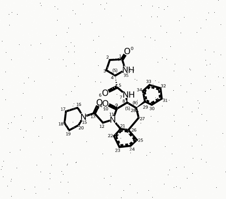 O=C1CC[C@@H](C(=O)N[C@@H]2C(=O)N(CC(=O)N3CCCCC3)c3ccccc3C[C@@H]2c2ccccc2)N1